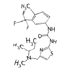 CCC(C)N(C)Cc1csc(NC(=O)Nc2ccc(C)c(C(F)(F)F)c2)n1